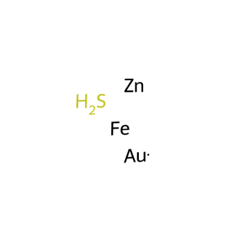 S.[Au].[Fe].[Zn]